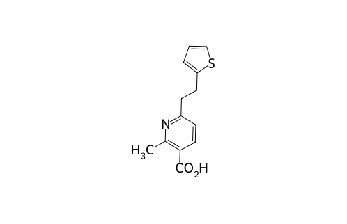 Cc1nc(CCc2cccs2)ccc1C(=O)O